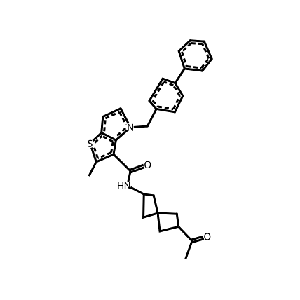 CC(=O)C1CC2(CC(NC(=O)c3c(C)sc4ccn(Cc5ccc(-c6ccccc6)cc5)c34)C2)C1